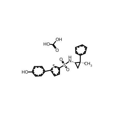 C[C@]1(c2ccccc2)C[C@@H]1NS(=O)(=O)c1ccc(-c2ccc(O)cc2)s1.O=C(O)O